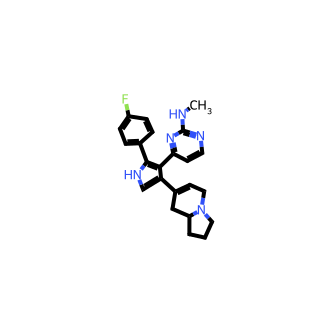 CNc1nccc(-c2c(C3=CCN4CCCC4C3)c[nH]c2-c2ccc(F)cc2)n1